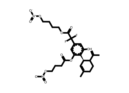 C=C(C)C1CCC(C)=C[C@H]1c1c(O)cc(C(F)(F)C(=O)OCCCCO[N+](=O)[O-])cc1OC(=O)CCCO[N+](=O)[O-]